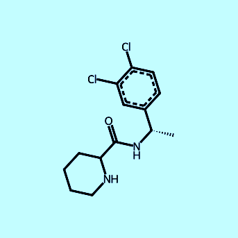 C[C@H](NC(=O)C1CCCCN1)c1ccc(Cl)c(Cl)c1